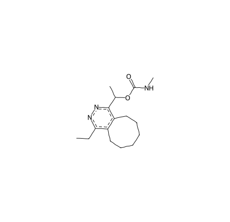 CCc1nnc(C(C)OC(=O)NC)c2c1CCCCCC2